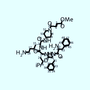 COC(=O)/C=C/C(=O)N1CCC(NC(=O)[C@@H](CCCCN)NC(=O)[C@@H](CCC(C)C)NC(=O)[C@@H](Cc2ccccc2)NC(=O)[C@H](N)Cc2ccccc2)CC1